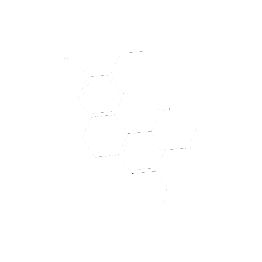 COc1cc2c(cc1O)CCc1cc(OC)c(OC)c(O)c1-2